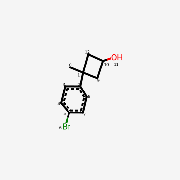 CC1(c2ccc(Br)cc2)CC(O)C1